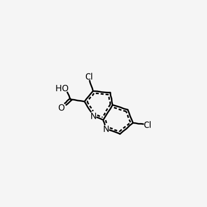 O=C(O)c1nc2ncc(Cl)cc2cc1Cl